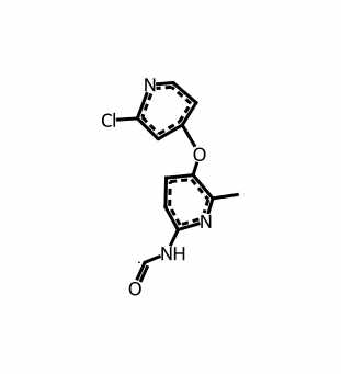 Cc1nc(N[C]=O)ccc1Oc1ccnc(Cl)c1